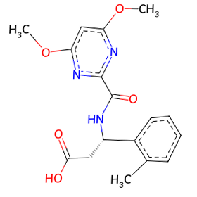 COc1cc(OC)nc(C(=O)N[C@@H](CC(=O)O)c2ccccc2C)n1